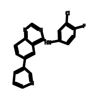 Fc1ccc(Nc2ncnc3ccc(-c4cccnc4)cc23)cc1Cl